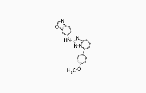 COc1ccc(-c2cccc3nc(Nc4ccc5ncoc5c4)nn23)cc1